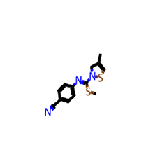 CSC(=Nc1ccc(C#N)cc1)N1CC(C)=CS1